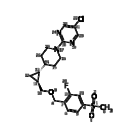 CS(=O)(=O)c1ccc(COC[C@H]2C[C@@H]2C2CCN(c3ncc(Cl)cn3)CC2)c(F)c1